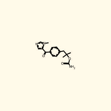 Cn1cncc1C(=O)c1ccc(CC(C)(C)OC(N)=O)cc1